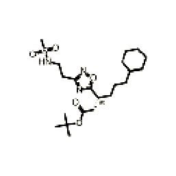 CC(C)(C)OC(=O)C[C@@H](CCCC1CCCCC1)c1nc(CCNS(C)(=O)=O)no1